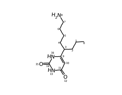 CCCC(CCCCN)c1cc(=O)[nH]c(=O)[nH]1